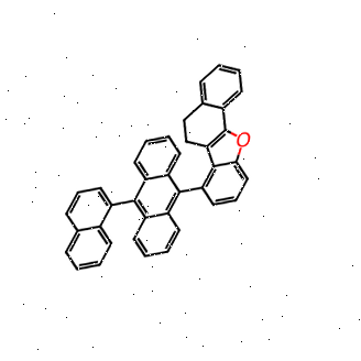 c1ccc2c(c1)CCc1c-2oc2cccc(-c3c4ccccc4c(-c4cccc5ccccc45)c4ccccc34)c12